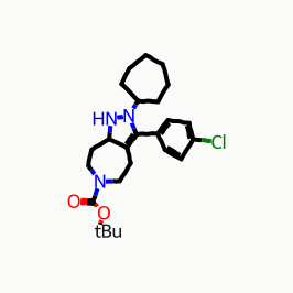 CC(C)(C)OC(=O)N1CCC2=C(c3ccc(Cl)cc3)N(C3CCCCCC3)NC2CC1